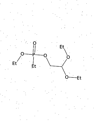 CCOC(COP(=O)(CC)OCC)OCC